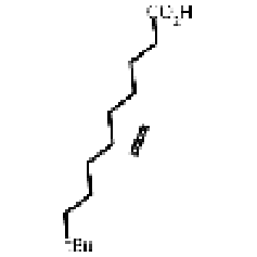 C=C.CC(C)(C)CCCCCCCCC(=O)O